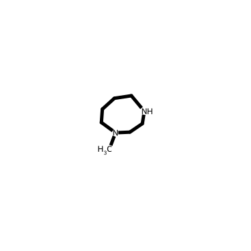 CN1CCCCNCC1